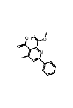 COC(=O)c1nc(-c2ccccc2)nc(C)c1C(=O)O